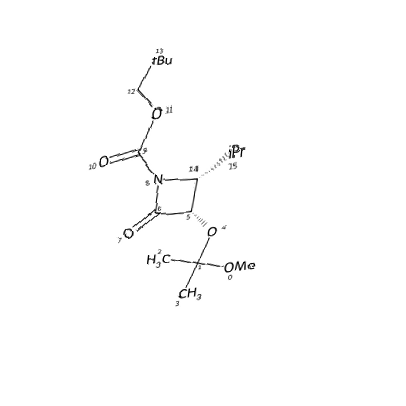 COC(C)(C)O[C@@H]1C(=O)N(C(=O)OCC(C)(C)C)[C@@H]1C(C)C